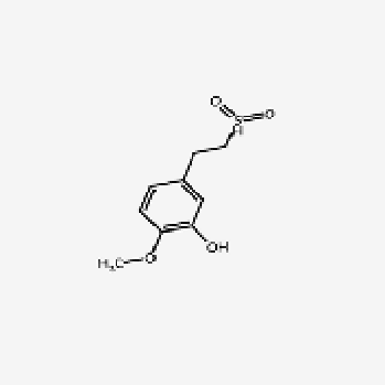 COc1ccc(CC[SH](=O)=O)cc1O